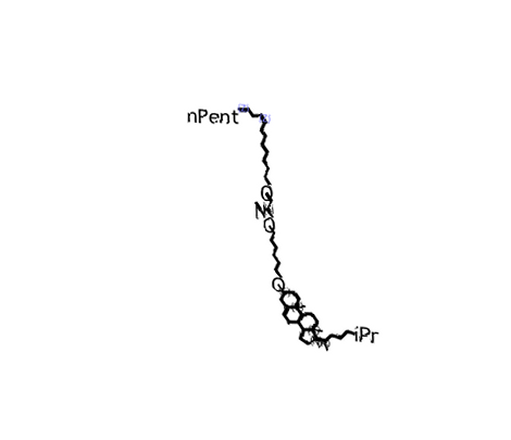 CCCCC/C=C\C/C=C\CCCCCCCCOC[C@@H](COCCCCCCCO[C@H]1CC[C@@]2(C)C(=CCC3C2CC[C@@]2(C)C3CC[C@@H]2[C@H](C)CCCC(C)C)C1)N(C)C